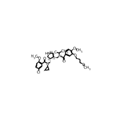 COCCCOc1cc(C(=O)N(C[C@@H]2CNC[C@H]2CN(C(=O)c2cc(Cl)ccc2OC)C2CC2)C(C)C)ccc1OC